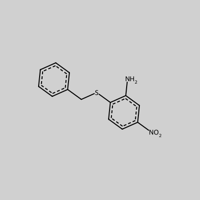 Nc1cc([N+](=O)[O-])ccc1SCc1ccccc1